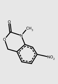 CN1C(=O)OCc2ccc([N+](=O)[O-])cc21